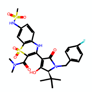 CN(C)C(=O)C1=C(C2=C(O)[C@H](C(C)(C)C)N(Cc3ccc(F)cc3)C2=O)Nc2ccc(NS(C)(=O)=O)cc2S1(=O)=O